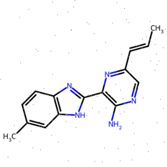 CC=Cc1cnc(N)c(-c2nc3ccc(C)cc3[nH]2)n1